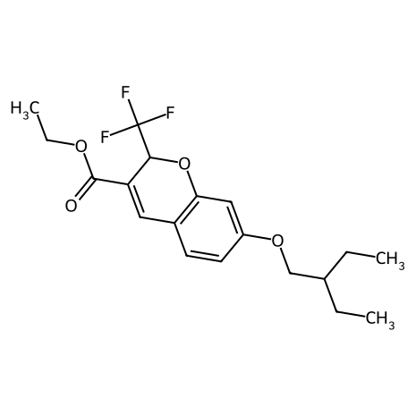 CCOC(=O)C1=Cc2ccc(OCC(CC)CC)cc2OC1C(F)(F)F